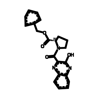 O=C(OCc1ccccc1)[C@@H]1CCCN1C(=O)c1nc2ccccc2nc1O